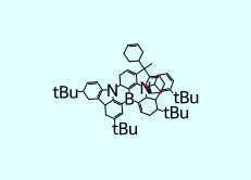 CC(C)(C)C1=CC2=C3C(C1)C1=C(C=CC(C(C)(C)C)C1)N3C1CC=C(C(C)(C3=CCCC=C3)C3CC=CCC3)C3=C1B2C1=CCC(C(C)(C)C)C2C4=C(C(C)(C)C)C=CCC4N3C12